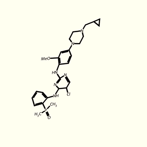 COc1cc(N2CCN(CC3CC3)CC2)ccc1NC1=NC(Nc2ccccc2P(C)(C)=O)C(Cl)C=N1